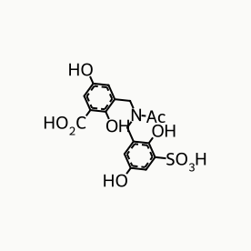 CC(=O)N(Cc1cc(O)cc(C(=O)O)c1O)Cc1cc(O)cc(S(=O)(=O)O)c1O